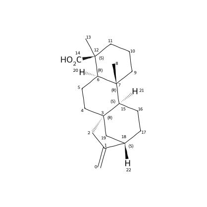 C=C1C[C@]23CC[C@@H]4[C@](C)(CCC[C@]4(C)C(=O)O)[C@H]2CC[C@H]1C3